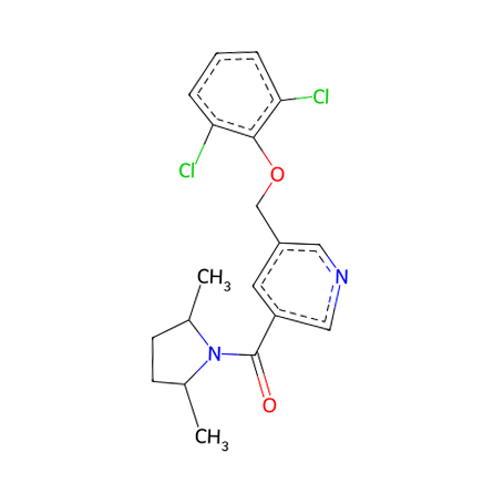 CC1CCC(C)N1C(=O)c1cncc(COc2c(Cl)cccc2Cl)c1